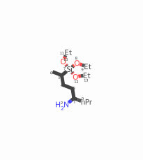 CCCC(N)CCC(C)[Si](OCC)(OCC)OCC